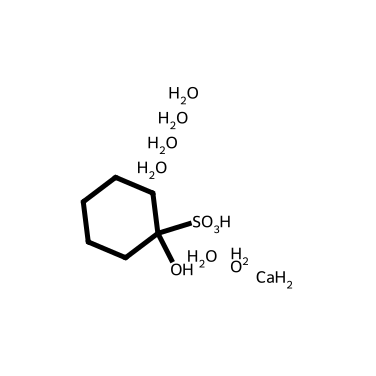 O.O.O.O.O.O.O=S(=O)(O)C1(O)CCCCC1.[CaH2]